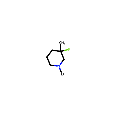 CCN1CCCC(C)(F)C1